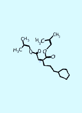 CC(C)COC(=O)/C=C(/CCCC1CCCCC1)C(=O)OCC(C)C